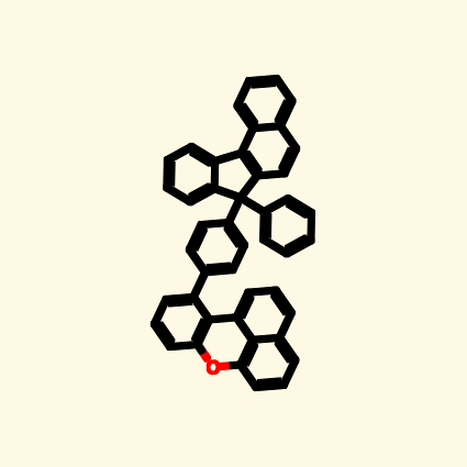 c1ccc(C2(c3ccc(-c4cccc5c4-c4cccc6cccc(c46)O5)cc3)c3ccccc3-c3c2ccc2ccccc32)cc1